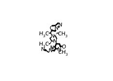 CC[C@H]1CN(C(C)c2ccc3cncn3c2)[C@H](CC)CN1c1cc(=O)n(C)c2cn(CC#N)nc12